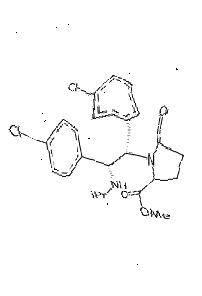 COC(=O)C1CCC(=O)N1[C@@H](c1cccc(Cl)c1)[C@H](NC(C)C)c1ccc(Cl)cc1